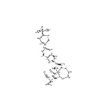 CS(=O)(=O)c1ccc(-c2ccc3cc(C(=O)NC4(C(=O)NC5(C#N)CC5)CCCCCC4)[nH]c3c2)cc1